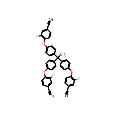 C#Cc1ccc(Oc2ccc(C(C)(c3ccc(Oc4ccc(C#C)cc4F)cc3)c3ccc(Oc4ccc(C#C)cc4F)cc3)cc2)c(F)c1